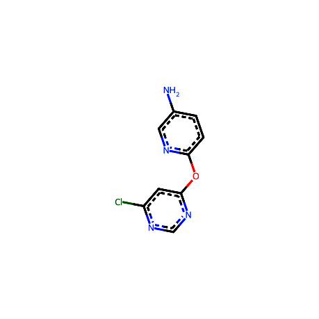 Nc1ccc(Oc2cc(Cl)ncn2)nc1